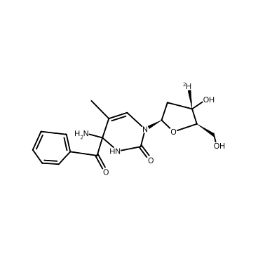 [2H][C@]1(O)C[C@H](N2C=C(C)C(N)(C(=O)c3ccccc3)NC2=O)O[C@@H]1CO